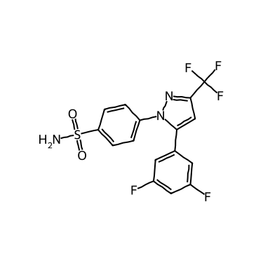 NS(=O)(=O)c1ccc(-n2nc(C(F)(F)F)cc2-c2cc(F)cc(F)c2)cc1